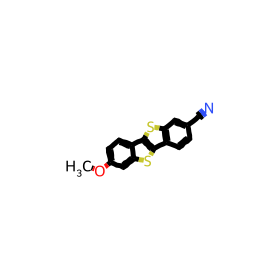 COc1ccc2c(c1)sc1c3ccc(C#N)cc3sc21